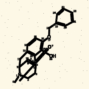 CN1CCC23CC(=O)CCC2C1Cc1ccc(OCc2ccccc2)c(O)c13